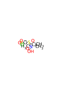 Cc1c(Sc2ccc(S(=O)(=O)Cl)cc2)c2c(n1CC(=O)O)CC(C)(C)CC2=O